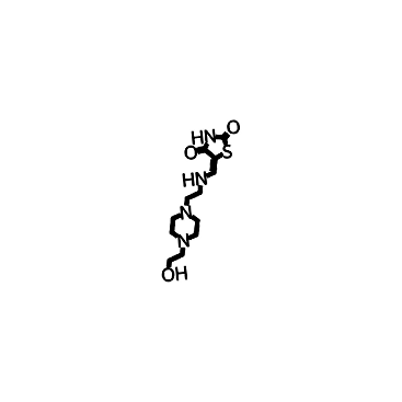 O=C1NC(=O)C(=CNCCN2CCN(CCO)CC2)S1